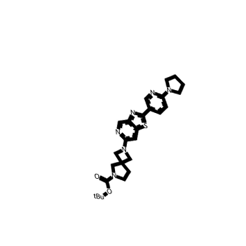 CC(C)(C)OC(=O)N1CCC2(C1)CN(c1cc3sc(-c4ccc(N5CCCC5)nc4)nc3cn1)C2